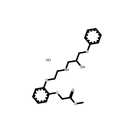 COC(=O)COc1ccccc1OCCNCC(O)COc1ccccc1.Cl